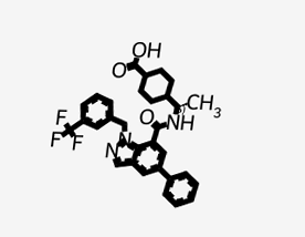 C[C@H](NC(=O)c1cc(-c2ccccc2)cc2cnn(Cc3cccc(C(F)(F)F)c3)c12)C1CCC(C(=O)O)CC1